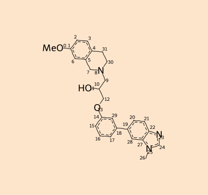 COc1ccc2c(c1)CN(CC(O)COc1cccc(-c3ccc4ncn(C)c4c3)c1)CC2